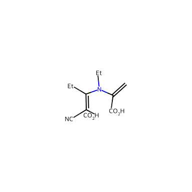 C=C(C(=O)O)N(CC)C(CC)=C(C#N)C(=O)O